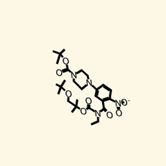 CCN(C(=O)OC(C)(C)COC(C)(C)C)C(=O)c1cc(N2CCN(C(=O)OC(C)(C)C)CC2)ccc1[N+](=O)[O-]